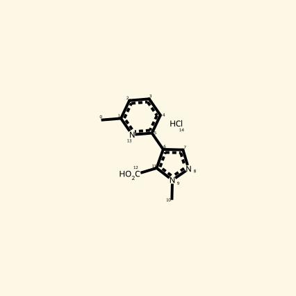 Cc1cccc(-c2cnn(C)c2C(=O)O)n1.Cl